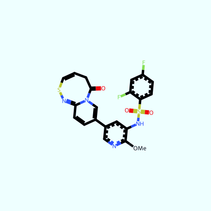 COc1ncc(C2=CN3C(=O)C/C=C\SN=C3C=C2)cc1NS(=O)(=O)c1ccc(F)cc1F